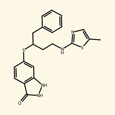 Cc1cnc(NCCC(Cc2ccccc2)Sc2ccc3c(=O)[nH][nH]c3c2)s1